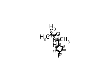 CC(C)C(=O)N[C@H](C)c1ccc(F)cc1